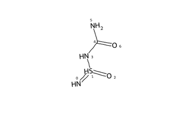 N=[SH](=O)NC(N)=O